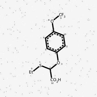 CCSC(Oc1ccc(OC(F)(F)F)cc1)C(=O)O